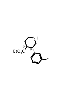 CCOC(=O)[C@H]1CCNC[C@@H]1c1cccc(F)c1